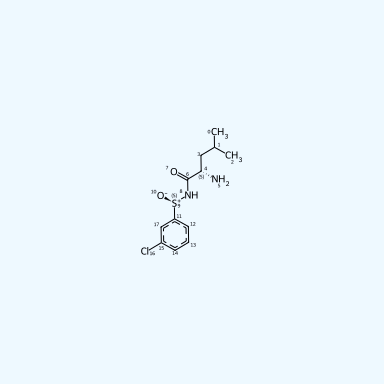 CC(C)C[C@H](N)C(=O)N[S@+]([O-])c1cccc(Cl)c1